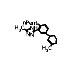 CCCCCc1ccc(C2C=C(C)CCC2)cc1-c1nnc(C)[nH]1